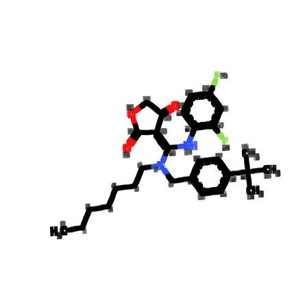 CCCCCCCN(Cc1ccc(C(C)(C)C)cc1)C(Nc1ccc(F)cc1F)=C1C(=O)COC1=O